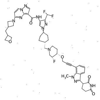 Cn1nc(C2CCC(=O)NC2=O)c2cccc(C#CCO[C@H]3CCN(C[C@H]4CC[C@H](n5cc(NC(=O)c6cnn7ccc(N8CC(CC9COC9)C8)nc67)c(C(F)F)n5)CC4)C[C@H]3F)c21